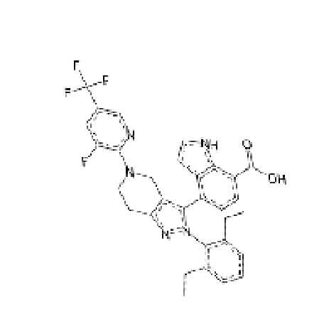 CCc1cccc(CC)c1-n1nc2c(c1-c1ccc(C(=O)O)c3[nH]ccc13)CN(c1ncc(C(F)(F)F)cc1F)CC2